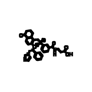 O=C(O)CCNC(=O)c1cccc(S(=O)(=O)Cc2c(O[C@H](Cn3ccnc3)c3ccccc3)ccc3c2CCCC3=O)c1